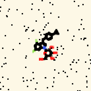 OCC1OC(n2cc(Cc3ccc(C4CC4)cc3)c3c(F)cc(F)cc32)[C@H](O)C(O)[C@@H]1O